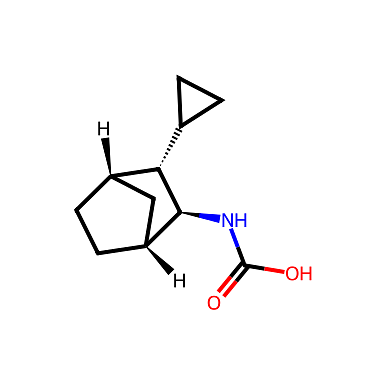 O=C(O)N[C@H]1[C@@H]2CC[C@@H](C2)[C@@H]1C1CC1